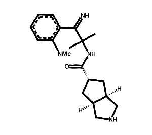 CNc1ccccc1C(=N)C(C)(C)NC(=O)[C@@H]1C[C@H]2CNC[C@H]2C1